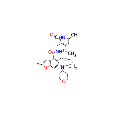 CCc1c(N(CC)C2CCOCC2)cc2oc(F)cc2c1C(=O)NCC1=C(OC)C=C(C)NC1=C=O